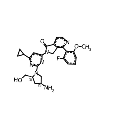 COc1cccc(F)c1-c1nccc2c1CN(c1cc(C3CC3)nc(N3C[C@@H](N)C[C@H]3CO)n1)C2=O